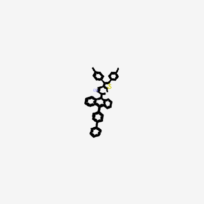 C=C(/C=C\c1c(C)sc(-c2ccc(C)cc2)c1-c1ccc(C)cc1)c1c2ccccc2c(-c2ccc(-c3ccccc3)cc2)c2ccccc12